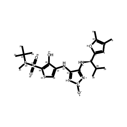 Cc1cc([C@H](Nc2n[s+]([O-])nc2Nc2csc(S(=O)(=O)N(C)C(C)(C)C)c2O)C(C)C)oc1C